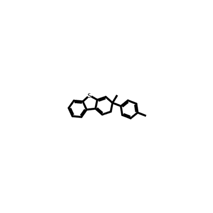 Cc1ccc(C2(C)C=c3sc4ccccc4c3=CC2)cc1